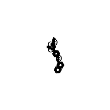 CCOC(=O)CC(OCC)c1ccc(OCC2=CC3(CCCCC3)CCC2)cc1